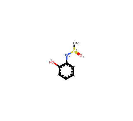 CC(=O)OS(=O)Nc1ccccc1O